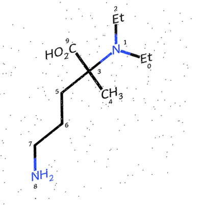 CCN(CC)C(C)(CCCN)C(=O)O